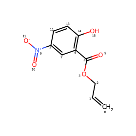 C=CCOC(=O)c1cc([N+](=O)[O-])ccc1O